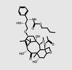 CCCCOC(=O)N[C@@H](c1ccccc1)[C@@H](O)CO[C@H]1C[C@@]2(O)[C@@H](OC)C3C(C)(C(=O)[C@H](O)C(=C1C)C2(C)C)[C@@H](O)CC1OC[C@]13OC(C)=O